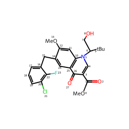 COC(=O)c1cn(C(CO)C(C)(C)C)c2cc(OC)c(Cc3cccc(Cl)c3F)cc2c1=O